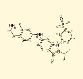 CC(C)n1c(=O)c2cnc(Nc3ccc4c(c3)CNCC4)nc2n1-c1cccc(P(C)(C)=O)n1